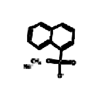 C.O=S(=O)([O-])c1cccc2ccccc12.[Na+]